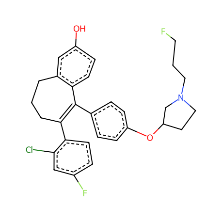 Oc1ccc2c(c1)CCCC(c1ccc(F)cc1Cl)=C2c1ccc(OC2CCN(CCCF)C2)cc1